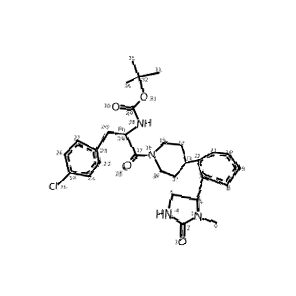 CN1C(=O)NCC1c1ccccc1C1CCN(C(=O)[C@@H](Cc2ccc(Cl)cc2)NC(=O)OC(C)(C)C)CC1